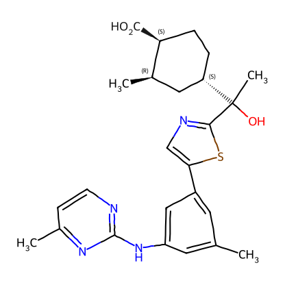 Cc1cc(Nc2nccc(C)n2)cc(-c2cnc(C(C)(O)[C@H]3CC[C@H](C(=O)O)[C@H](C)C3)s2)c1